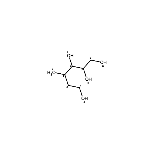 CC(CCO)C(O)C(O)CO